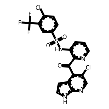 O=C(c1ncccc1NS(=O)(=O)c1ccc(Cl)c(C(F)(F)F)c1)c1c(Cl)cnc2[nH]ccc12